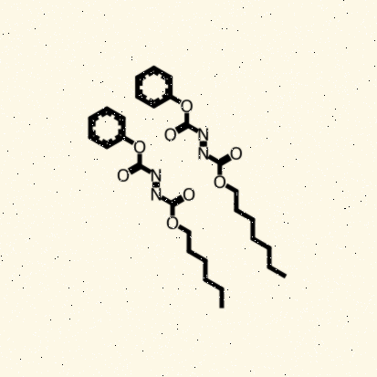 CCCCCCCOC(=O)N=NC(=O)Oc1ccccc1.CCCCCCOC(=O)N=NC(=O)Oc1ccccc1